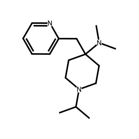 CC(C)N1CCC(Cc2ccccn2)(N(C)C)CC1